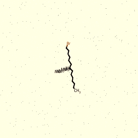 CCCCCCCCCCCCCCBr.[Mo].[Mo].[Mo].[Mo].[Mo].[Mo]